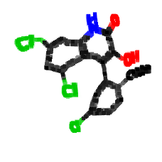 COc1ccc(Cl)cc1-c1c(O)c(=O)[nH]c2cc(Cl)cc(Cl)c12